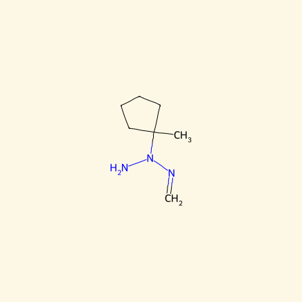 C=NN(N)C1(C)CCCC1